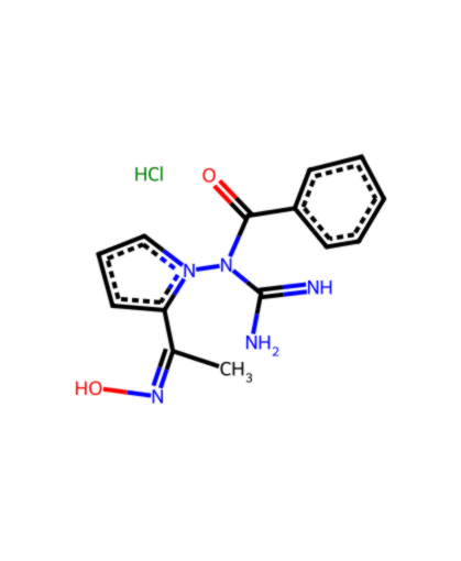 C/C(=N/O)c1cccn1N(C(=N)N)C(=O)c1ccccc1.Cl